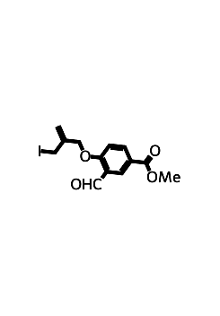 C=C(CI)COc1ccc(C(=O)OC)cc1C=O